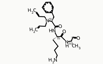 C=CCN(CC=C)[C@@H](Cc1ccccc1)C(=O)N[C@@H](CCCCN)C(=O)N[C@@H](C)[C]=O